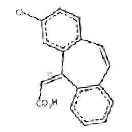 O=C(O)/C=C1\c2ccccc2C=Cc2ccc(Cl)cc21